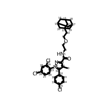 Cc1c(C(=O)NCCOCCC23CC4CC(CC(C4)C2)C3)nn(-c2ccc(Cl)cc2Cl)c1-c1ccc(Cl)cc1